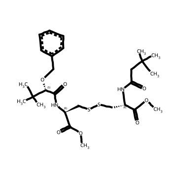 COC(=O)[C@H](CSSC[C@H](NC(=O)[C@@H](OCc1ccccc1)C(C)(C)C)C(=O)OC)NC(=O)CC(C)(C)C